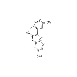 CNc1cc2nc(C#N)c(-c3cc(N)ccc3C)cc2cn1